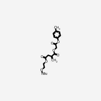 C=C(CC(=O)OCCOCCCC)C(=O)OCC(=O)Oc1ccc(C)cc1